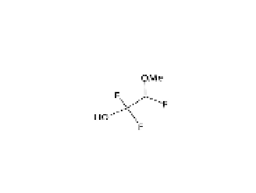 COC(F)C(O)(F)F